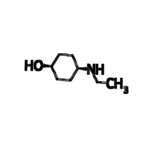 CCN[C@H]1CC[C@@H](O)CC1